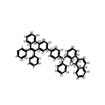 c1ccc(-c2c(-c3ccccc3)c3cc(-c4ccc(N(c5ccccc5)c5cccc6c5oc5c7ccccc7ccc65)cc4)ccc3c3ccccc23)cc1